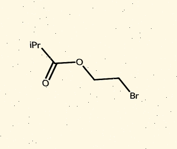 CC(C)C(=O)OCCBr